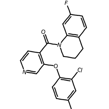 O=C(c1ccncc1Oc1ccc(Cl)cc1Cl)N1CCCc2ccc(F)cc21